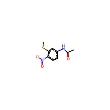 CSc1cc(NC(C)=O)ccc1[N+](=O)[O-]